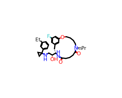 CCCN1CCCCOc2cc(F)cc(c2)C[C@@H]([C@H](O)CNC2(c3cccc(CC)c3)CC2)NC(=O)CCCC1=O